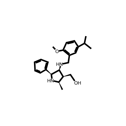 COc1ccc(C(C)C)cc1CN[C@H]1[C@@H](CO)[C@@H](C)N[C@H]1c1ccccc1